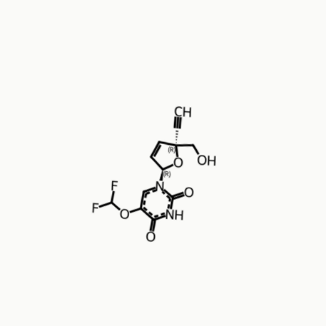 C#C[C@@]1(CO)C=C[C@H](n2cc(OC(F)F)c(=O)[nH]c2=O)O1